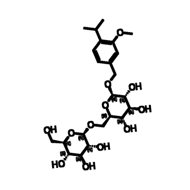 COc1cc(CO[C@@H]2O[C@H](CO[C@@H]3O[C@H](CO)[C@@H](O)[C@H](O)[C@H]3O)[C@@H](O)[C@H](O)[C@H]2O)ccc1C(C)C